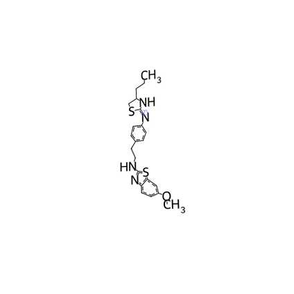 CCCC1CS/C(=N\c2ccc(CCNc3nc4ccc(OC)cc4s3)cc2)N1